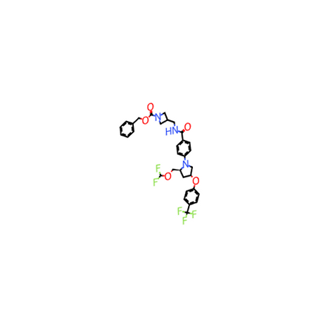 O=C(NCC1CN(C(=O)OCc2ccccc2)C1)c1ccc(N2C[C@@H](Oc3ccc(C(F)(F)F)cc3)C[C@H]2COC(F)F)cc1